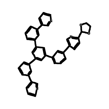 c1cncc(-c2cccc(-c3cc(-c4cccc(-c5cccnc5)c4)cc(-c4cccc(-c5ccc(C6OCCO6)nc5)c4)c3)c2)c1